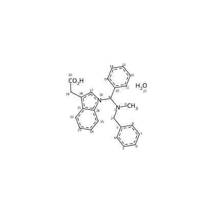 CN(Cc1ccccc1)C(c1ccccc1)n1cc(CC(=O)O)c2ccccc21.O